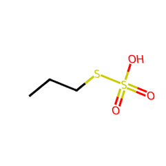 CCCSS(=O)(=O)O